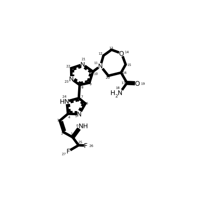 N=C(/C=C\c1ncc(-c2cc(N3CCOCC(C(N)=O)C3)ncn2)[nH]1)C(F)F